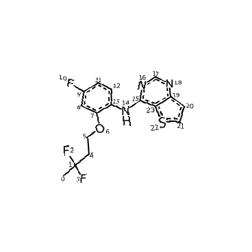 CC(F)(F)CCOc1cc(F)ccc1Nc1ncnc2ccsc12